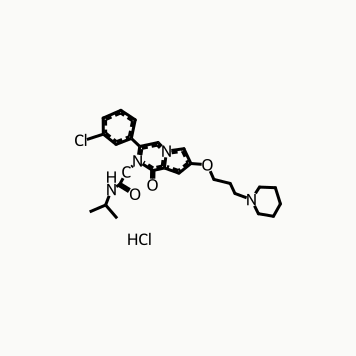 CC(C)NC(=O)Cn1c(-c2cccc(Cl)c2)cn2cc(OCCCN3CCCCC3)cc2c1=O.Cl